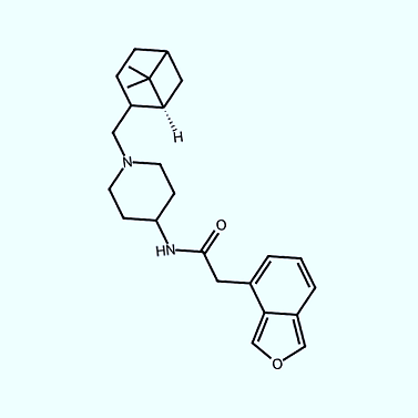 CC1(C)C2CCC(CN3CCC(NC(=O)Cc4cccc5cocc45)CC3)[C@@H]1C2